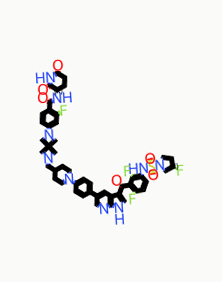 O=C1CC[C@@H](NC(=O)c2ccc(N3CC4(CN(CC5CCN(c6ccc(-c7cnc8[nH]cc(C(=O)c9c(F)ccc(NS(=O)(=O)N%10CC[C@@H](F)C%10)c9F)c8c7)cc6)CC5)C4)C3)cc2F)C(=O)N1